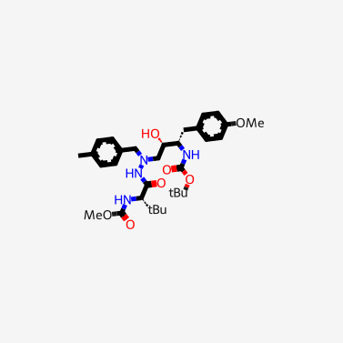 COC(=O)N[C@H](C(=O)NN(Cc1ccc(C)cc1)C[C@H](O)[C@H](Cc1ccc(OC)cc1)NC(=O)OC(C)(C)C)C(C)(C)C